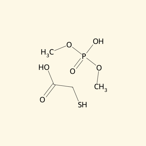 COP(=O)(O)OC.O=C(O)CS